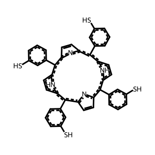 Sc1cccc(-c2c3nc(c(-c4cccc(S)c4)c4ccc([nH]4)c(-c4cccc(S)c4)c4nc(c(-c5cccc(S)c5)c5ccc2[nH]5)C=C4)C=C3)c1